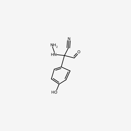 N#CC(C=O)(NN)c1ccc(O)cc1